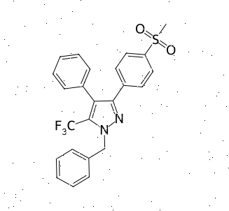 CS(=O)(=O)c1ccc(-c2nn(Cc3ccccc3)c(C(F)(F)F)c2-c2ccccc2)cc1